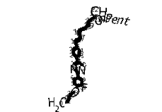 C=CCOc1ccc(-c2ncc(-c3ccc(C=CCCCC(C)OCCCCC)cc3)cn2)cc1F